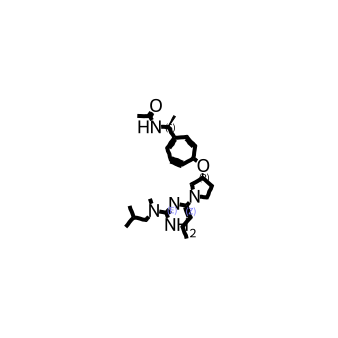 CC/C=C(\N=C(/N)N(C)CC(C)C)N1CC[C@@H](OC2C#CC=C([C@H](C)NC(C)=O)C=C2)C1